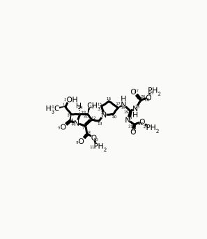 C[C@@H](O)[C@@H]1C(=O)N2C(C(=O)OP)=C(CN3CC[C@@H](NC(=NC(=O)OP)NC(=O)OP)C3)[C@H](C)[C@H]12